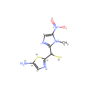 Cn1c([N+](=O)[O-])cnc1C(S)c1ncc(N)s1